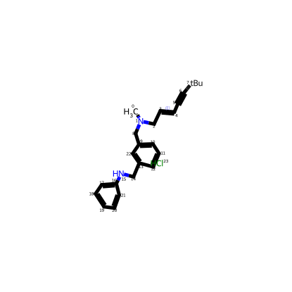 CN(C/C=C/C#CC(C)(C)C)Cc1cccc(CNc2ccccc2)c1.Cl